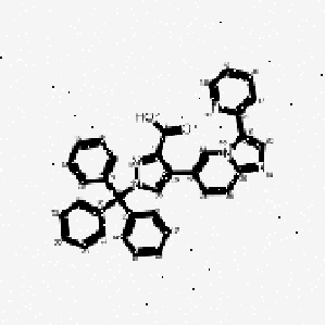 O=C(O)c1nn(C(c2ccccc2)(c2ccccc2)c2ccccc2)cc1-c1ccc2ncc(-c3ccccn3)n2c1